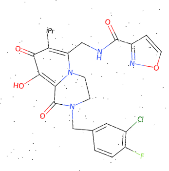 CC(C)c1c(CNC(=O)c2ccon2)n2c(c(O)c1=O)C(=O)N(Cc1ccc(F)c(Cl)c1)CC2